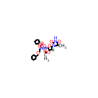 CC(=O)O[C@@H]1[C@@H](F)[C@@H](n2cc(C)c(=O)[nH]c2=O)O[C@H]1COP(=O)(NCCOCc1ccccc1)Oc1ccccc1